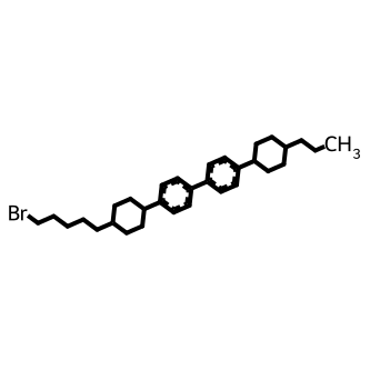 CCCC1CCC(c2ccc(-c3ccc(C4CCC(CCCCCBr)CC4)cc3)cc2)CC1